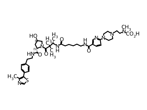 Cc1ncsc1-c1ccc(CCNC(=O)[C@@H]2C[C@@H](O)CN2C(=O)C(C)(C)[C@H](C)NC(=O)CCCCCNC(=O)c2ccc(N3CCN(CCN(C)C(=O)O)CC3)nc2)cc1